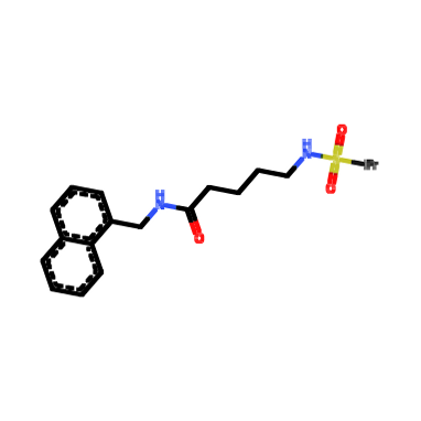 CC(C)S(=O)(=O)NCCCCC(=O)NCc1cccc2ccccc12